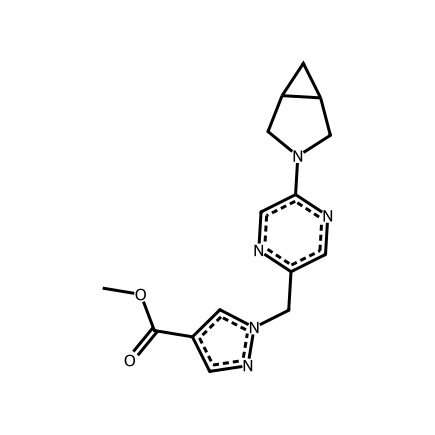 COC(=O)c1cnn(Cc2cnc(N3CC4CC4C3)cn2)c1